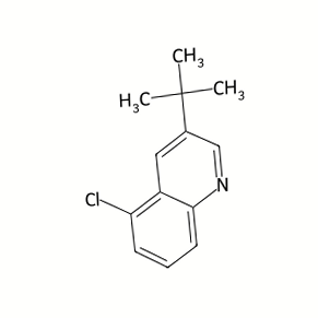 CC(C)(C)c1cnc2cccc(Cl)c2c1